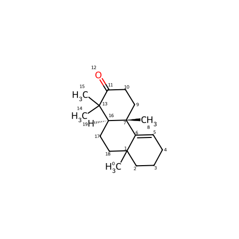 CC12CCCC=C1[C@@]1(C)CCC(=O)C(C)(C)[C@@H]1CC2